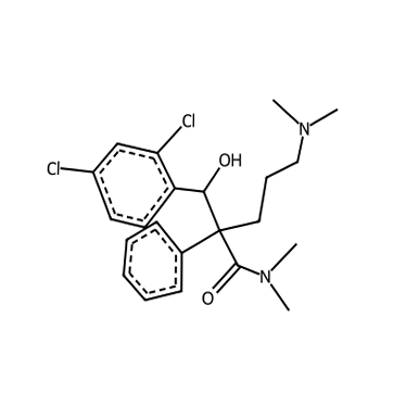 CN(C)CCCC(C(=O)N(C)C)(c1ccccc1)C(O)c1ccc(Cl)cc1Cl